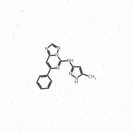 Cc1cc(Nc2nc(-c3ccccc3)cc3ncnn23)n[nH]1